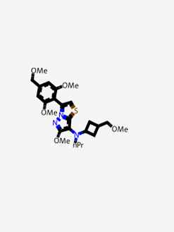 CCCN(c1c(OC)nn2c(-c3c(OC)cc(COC)cc3OC)csc12)C1CC(COC)C1